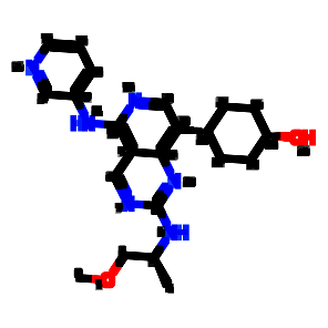 COC[C@H](C)Nc1ncc2c(Nc3cccnc3)ncc([C@H]3CC[C@H](O)CC3)c2n1